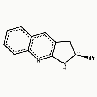 CC(C)[C@@H]1Cc2cc3cc[c]cc3nc2N1